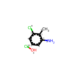 Cc1c(N)cccc1Cl.OCl